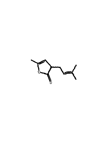 CC(C)=CCC1C=C(C)OC1=O